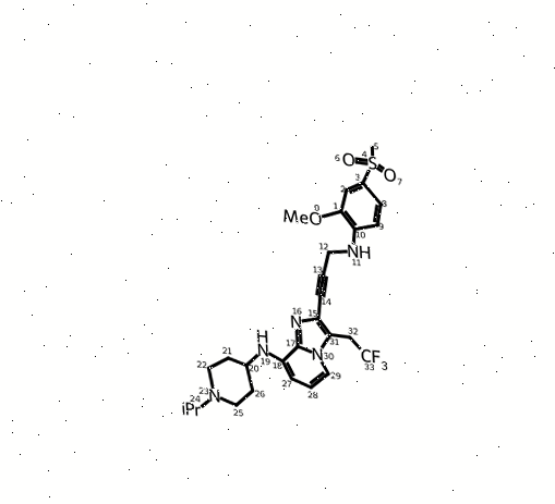 COc1cc(S(C)(=O)=O)ccc1NCC#Cc1nc2c(NC3CCN(C(C)C)CC3)cccn2c1CC(F)(F)F